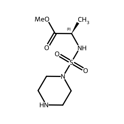 COC(=O)[C@@H](C)NS(=O)(=O)N1CCNCC1